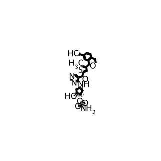 C#Cc1ccc2c(c1)C(c1cc(C(=O)c3cncnc3N[C@@H]3C[C@H](COS(N)(=O)=O)[C@@H](O)C3)sc1C)OCC2